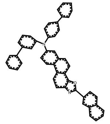 c1ccc(-c2ccc(N(c3cccc(-c4ccccc4)c3)c3ccc4c(ccc5c4ccc4nc(-c6ccc7ccccc7c6)oc45)c3)cc2)cc1